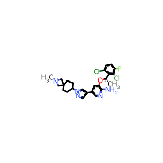 C[C@H](Oc1cc(-c2cnn(C3CCC4(CC3)CN(C)C4)c2)cnc1N)c1c(Cl)ccc(F)c1Cl